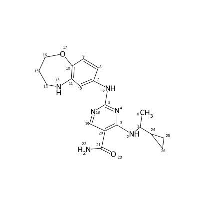 CC(Nc1nc(Nc2ccc3c(c2)NCCCO3)ncc1C(N)=O)C1CC1